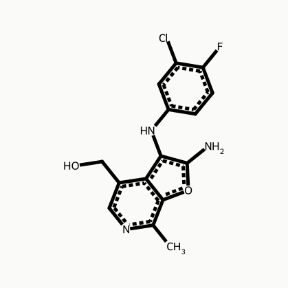 Cc1ncc(CO)c2c(Nc3ccc(F)c(Cl)c3)c(N)oc12